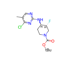 Cc1cnc(N[C@@H]2CCN(C(=O)OC(C)(C)C)C[C@H]2F)nc1Cl